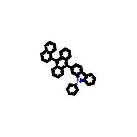 c1ccc(-n2c3ccccc3c3ccc(-c4c5ccccc5c(-c5cccc6ccccc56)c5ccccc45)cc32)cc1